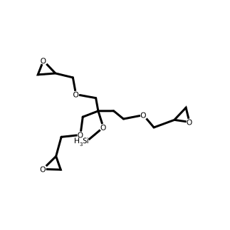 [SiH3]OC(CCOCC1CO1)(COCC1CO1)COCC1CO1